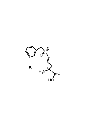 Cl.N[C@@H](CC=CS(=O)(=O)Cc1ccccc1)C(=O)O